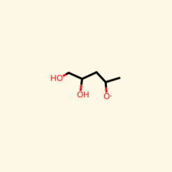 CC([O])CC(O)CO